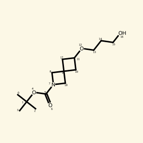 CC(C)(C)OC(=O)N1CC2(CC(OCCCO)C2)C1